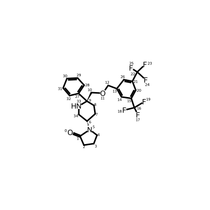 O=C1CCCN1[C@H]1CC[C@@](COCc2cc(C(F)(F)F)cc(C(F)(F)F)c2)(c2ccccc2)NC1